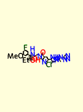 CC[C@H](O)[C@@H](NC(=O)CN1Cc2ncc(C(=N)/C(Cl)=C\N=C(/C)Nc3cnn(C)n3)cc2C1=O)c1cc(F)cc(OC)c1